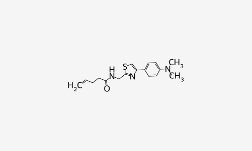 C=CCCC(=O)NCc1nc(-c2ccc(N(C)C)cc2)cs1